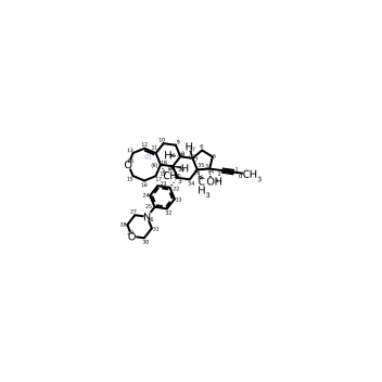 CC#C[C@]1(O)CC[C@H]2[C@@H]3CC/C4=C/COCCC[C@]4(C)[C@H]3[C@@H](c3ccc(N4CCOCC4)cc3)C[C@@]21C